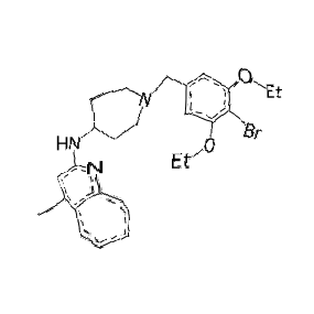 CCOc1cc(CN2CCC(Nc3cc(C)c4ccccc4n3)CC2)cc(OCC)c1Br